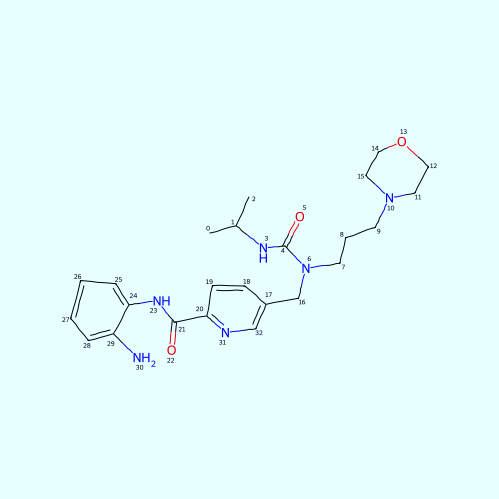 CC(C)NC(=O)N(CCCN1CCOCC1)Cc1ccc(C(=O)Nc2ccccc2N)nc1